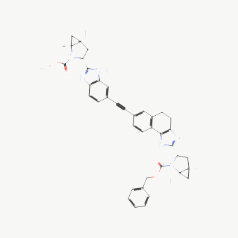 CC(C)(C)OC(=O)N1[C@@H]2C[C@@H]2C[C@H]1c1nc2ccc(C#Cc3ccc4c(c3)CCc3nc([C@@H]5C[C@H]6C[C@H]6N5C(=O)OCc5ccccc5)[nH]c3-4)cc2[nH]1